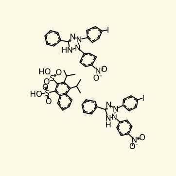 CC(C)c1c(S(=O)(=O)O)c(S(=O)(=O)O)c2ccccc2c1C(C)C.O=[N+]([O-])c1ccc(N2NC(c3ccccc3)=NN2c2ccc(I)cc2)cc1.O=[N+]([O-])c1ccc(N2NC(c3ccccc3)=NN2c2ccc(I)cc2)cc1